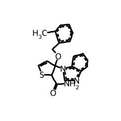 Cc1ccccc1COC1(n2cnc3ccccc32)C=CSC1C(N)=O